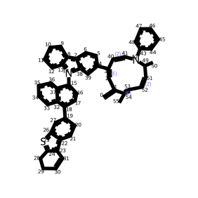 C=C1/C=C(c2ccc3c4ccccc4n(-c4ccc(-c5ccc6c7c(sc6c5)CCC=C7)c5ccccc45)c3c2)\C=C/N(c2ccccc2)C(C)/C=C\C=C\1C